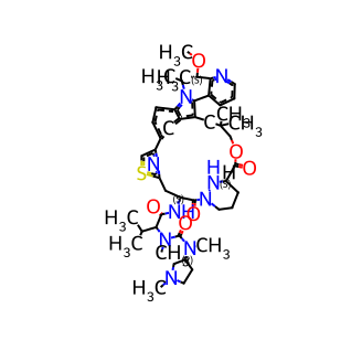 CCn1c(-c2cccnc2[C@H](C)OC)c2c3cc(ccc31)-c1csc(n1)C[C@H](NC(=O)C(C(C)C)N(C)C(=O)N(C)[C@@H]1CCN(C)C1)C(=O)N1CCC[C@H](N1)C(=O)OCC(C)(C)C2